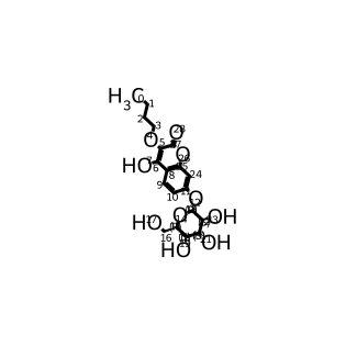 CCCCOc1c(O)c2ccc(O[C@H]3O[C@H](CO)[C@@H](O)[C@H](O)[C@@H]3O)cc2oc1=O